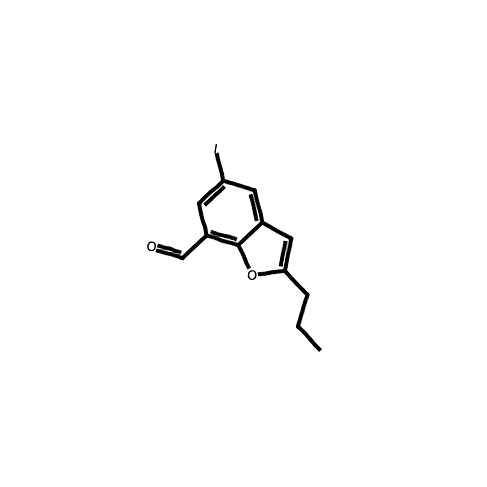 CCCc1cc2cc(I)cc(C=O)c2o1